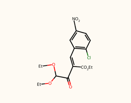 CCOC(=O)/C(=C\c1cc([N+](=O)[O-])ccc1Cl)C(=O)C(OCC)OCC